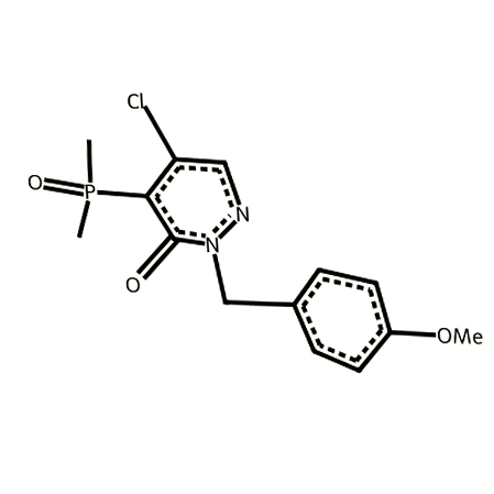 COc1ccc(Cn2ncc(Cl)c(P(C)(C)=O)c2=O)cc1